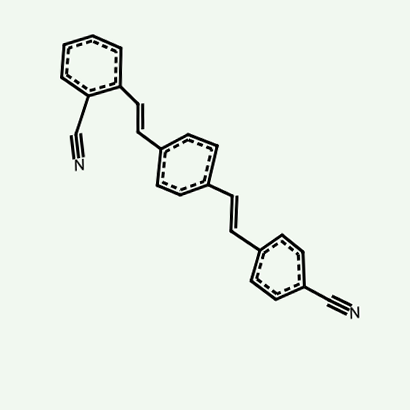 N#Cc1ccc(/C=C/c2ccc(/C=C/c3ccccc3C#N)cc2)cc1